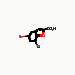 CCc1cc(Br)cc2cc(C(=O)O)oc12